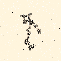 N#C[C@H]1CC(F)(F)CN1C(=O)CNC(=O)c1ccnc2ccc(OCCCCN3CCN(C(=O)CCCCC/C=N/NC(CCCCNC(=O)CCCc4ccc(O)cc4)NC(=O)CN4CCN(CC(=O)O)CCN(CC(=O)O)CCN(CC(=O)O)CC4)CC3)cc12